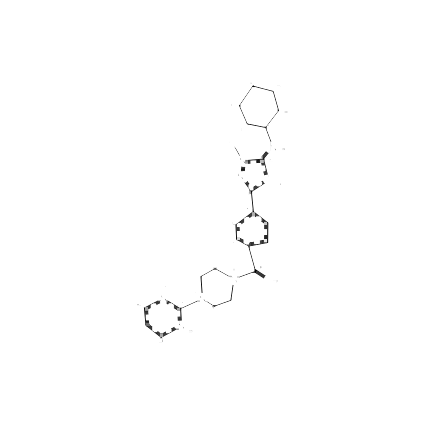 Cn1nc(-c2ccc(C(=O)N3CCN(c4ncccn4)CC3)cc2)s/c1=N/C1CCCCC1